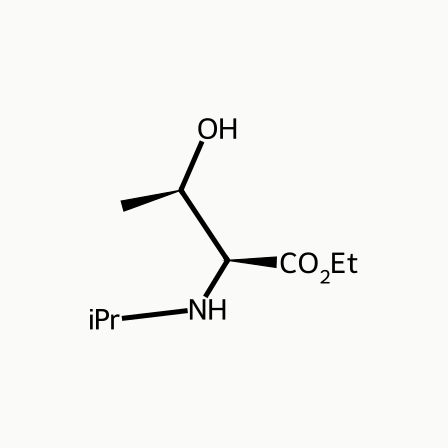 CCOC(=O)[C@@H](NC(C)C)[C@@H](C)O